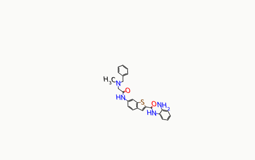 CN(CC(=O)Nc1ccc2cc(C(=O)Nc3ccccc3N)sc2c1)Cc1ccccc1